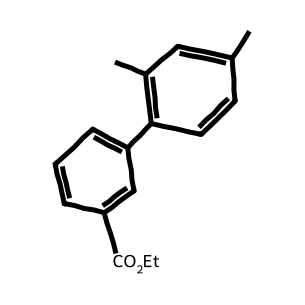 CCOC(=O)c1cccc(-c2ccc(C)cc2C)c1